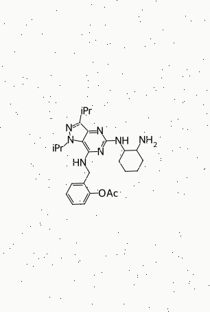 CC(=O)Oc1ccccc1CNc1nc(NC2CCCCC2N)nc2c(C(C)C)nn(C(C)C)c12